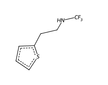 FC(F)(F)NCCc1cccs1